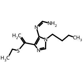 C=C(SCC)c1ncn(CCCC)c1/N=C\N